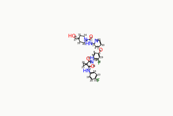 O=C(Nc1cc(Oc2ccc(NC(=O)C3(C(=O)Nc4ccc(F)cc4)CC3)c(F)c2)ccn1)N1CCC(CO)CC1